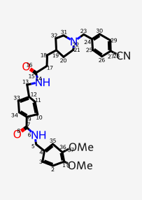 COc1ccc(CNC(=O)c2ccc(CNC(=O)CCC3CCN(Cc4ccc(C#N)cc4)CC3)cc2)cc1OC